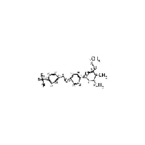 CCOC(=O)C(C)C(C)COc1ccc(OCc2ccc(C(F)(F)F)cc2)cc1